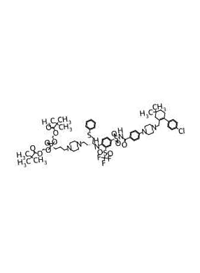 CC1(C)CCC(c2ccc(Cl)cc2)=C(CN2CCN(c3ccc(C(=O)NS(=O)(=O)c4ccc(N[C@H](CCN5CCN(CCCP(=O)(OCOC(=O)C(C)(C)C)OCOC(=O)C(C)(C)C)CC5)CSc5ccccc5)c(S(=O)(=O)C(F)(F)F)c4)cc3)CC2)C1